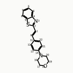 C(=Cc1nc2ccccc2s1)c1ccc(N2CCOCC2)cc1